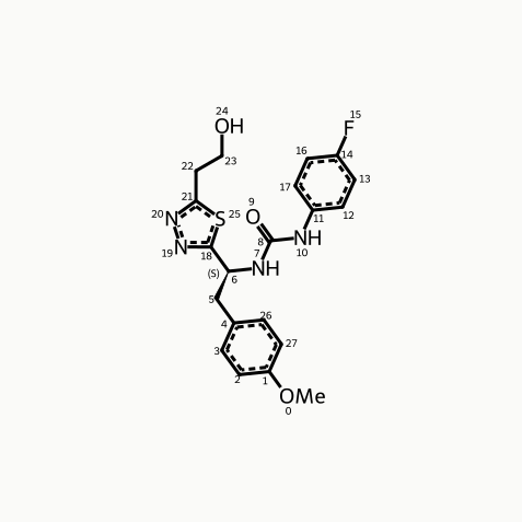 COc1ccc(C[C@H](NC(=O)Nc2ccc(F)cc2)c2nnc(CCO)s2)cc1